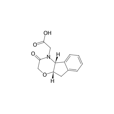 O=C(O)CN1C(=O)CO[C@H]2Cc3ccccc3[C@H]21